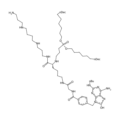 CCCCCCCCCCCCCCCCOP(=O)(CCCN[C@@H](CCCCNC(=O)CNC(=O)c1ccc(Cn2c(O)nc3c(N)nc(NCCCC)nc32)cc1)C(=O)NCCCNCCCCNCCCN)OCCCCCCCCCCCCCCCC